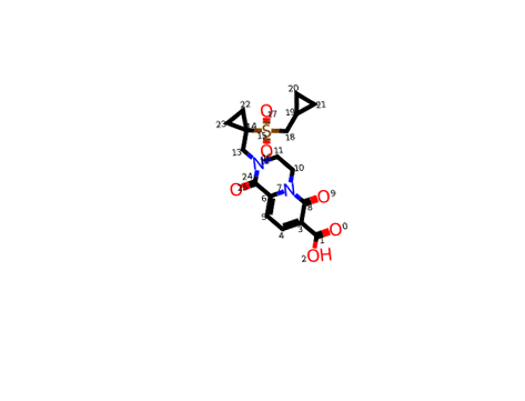 O=C(O)c1ccc2n(c1=O)CCN(CC1(S(=O)(=O)CC3CC3)CC1)C2=O